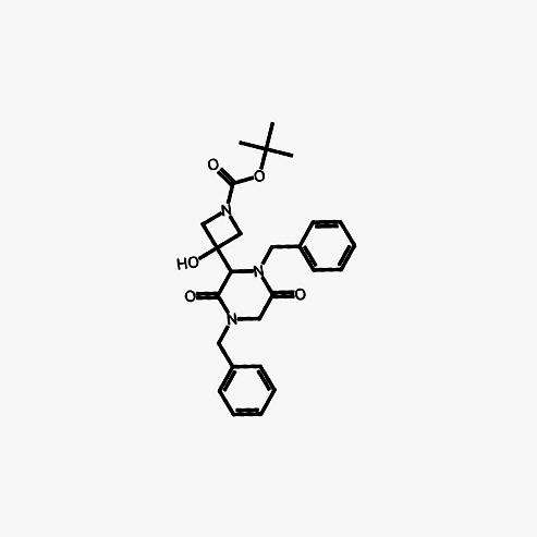 CC(C)(C)OC(=O)N1CC(O)(C2C(=O)N(Cc3ccccc3)CC(=O)N2Cc2ccccc2)C1